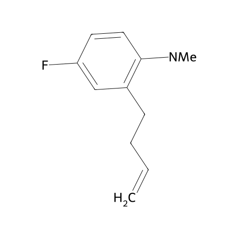 C=CCCc1cc(F)ccc1NC